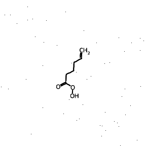 C=CCCCC(=O)OO